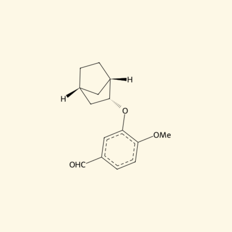 COc1ccc(C=O)cc1O[C@@H]1C[C@@H]2CC[C@H]1C2